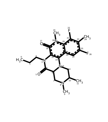 CCCN1C(=O)C2CN(C)C(C)CN2c2c1c(=O)n(C)c1c(F)c(C)c(F)cc21